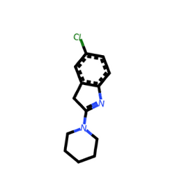 Clc1ccc2c(c1)CC(N1CCCCC1)=N2